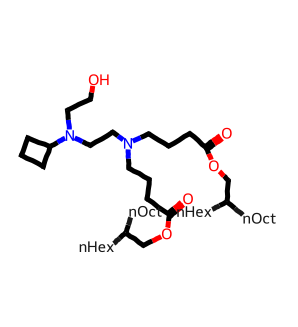 CCCCCCCCC(CCCCCC)COC(=O)CCCN(CCCC(=O)OCC(CCCCCC)CCCCCCCC)CCN(CCO)C1CCC1